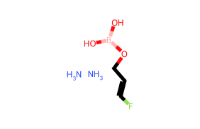 N.N.OB(O)OCC=CF